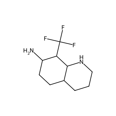 NC1CCC2CCCNC2C1C(F)(F)F